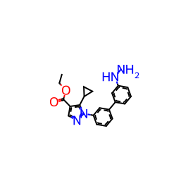 CCOC(=O)c1cnn(-c2cccc(-c3cccc(NN)c3)c2)c1C1CC1